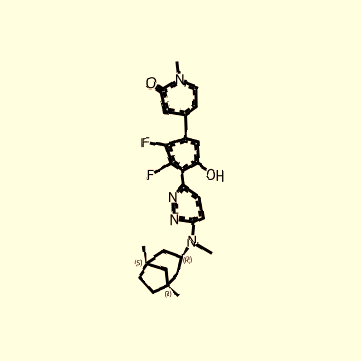 CN(c1ccc(-c2c(O)cc(-c3ccn(C)c(=O)c3)c(F)c2F)nn1)[C@H]1C[C@]2(C)CC[C@](C)(C1)C2